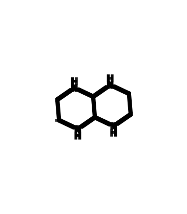 [CH]1CNC2NCCNC2N1